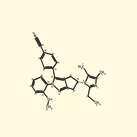 CCc1nc(C)c(C)n1[C@@H]1Cc2nn(-c3ccccc3OC)c(-c3ccc(C#N)cc3)c2C1